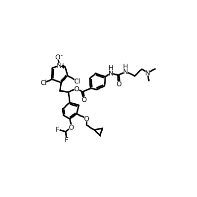 CN(C)CCNC(=O)Nc1ccc(C(=O)OC(Cc2c(Cl)c[n+]([O-])cc2Cl)c2ccc(OC(F)F)c(OCC3CC3)c2)cc1